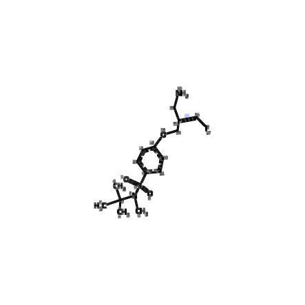 CN(C(C)(C)C)S(=O)(=O)c1ccc(OC/C(=C\F)CN)cc1